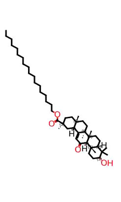 CCCCCCCCCCCCCCCCCCOC(=O)[C@@]1(C)CC[C@]2(C)CC[C@]3(C)C(=CC(=O)[C@@H]4[C@@]5(C)CC[C@H](O)C(C)(C)[C@@H]5CC[C@]43C)[C@@H]2C1